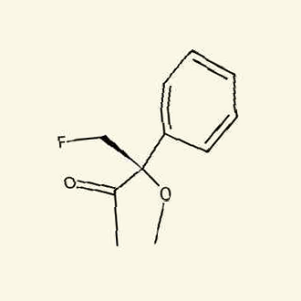 CO[C@](CF)(C(C)=O)c1ccccc1